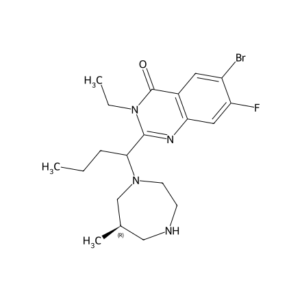 CCCC(c1nc2cc(F)c(Br)cc2c(=O)n1CC)N1CCNC[C@@H](C)C1